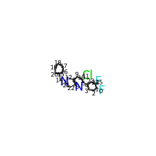 Fc1ccc(-c2nc3c(cc2Cl)CN(Cc2ccccc2)CC3)cc1F